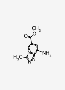 COC(=O)c1cc(N)c2nnc(C)n2c1